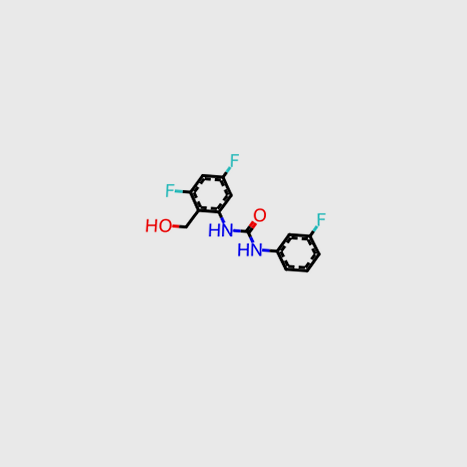 O=C(Nc1cccc(F)c1)Nc1cc(F)cc(F)c1CO